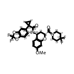 COc1ccc2c(c1)O[C@@H](C(=O)N1CCC(F)(F)CC1)C[C@@H]2NC(=O)C1(c2ccc3c(c2)OC(F)(F)O3)CC1